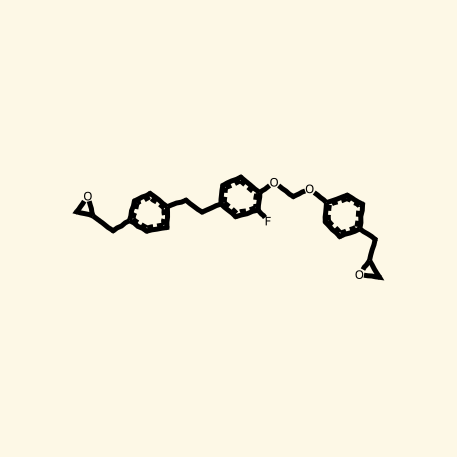 Fc1cc(CCc2ccc(CC3CO3)cc2)ccc1OCOc1ccc(CC2CO2)cc1